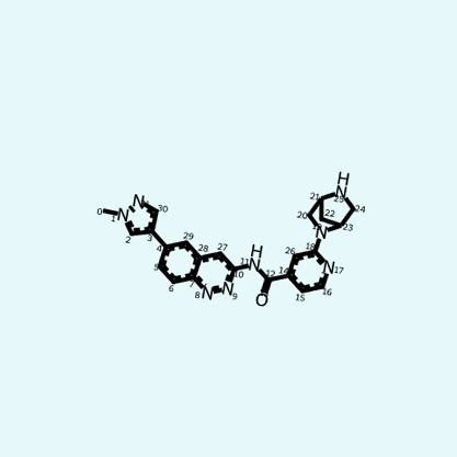 Cn1cc(-c2ccc3nnc(NC(=O)c4ccnc(N5CC6CC5CN6)c4)cc3c2)cn1